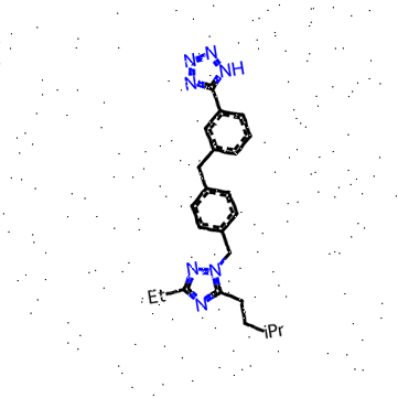 CCc1nc(CCC(C)C)n(Cc2ccc(Cc3cccc(-c4nnn[nH]4)c3)cc2)n1